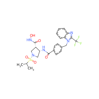 CC(C)S(=O)(=O)N1C[C@H](C(=O)NO)[C@H](NC(=O)c2ccc(Cn3c(C(F)(F)F)nc4ccccc43)cc2)C1